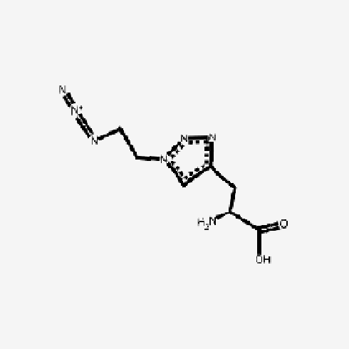 [N-]=[N+]=NCCn1cc(C[C@H](N)C(=O)O)nn1